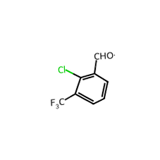 O=[C]c1cccc(C(F)(F)F)c1Cl